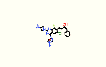 CN(C)C1CN(c2nc(N3CC4COCC3CN4)c3cc(Cl)c(/C=C/C(O)=C\c4ccccc4)c(F)c3n2)C1